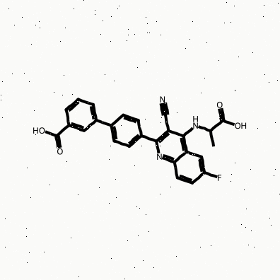 CC(Nc1c(C#N)c(-c2ccc(-c3cccc(C(=O)O)c3)cc2)nc2ccc(F)cc12)C(=O)O